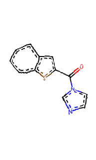 O=C(c1cc2ccccc2s1)n1ccnc1